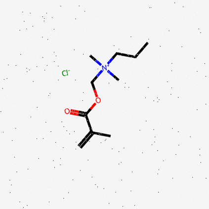 C=C(C)C(=O)OC[N+](C)(C)CCC.[Cl-]